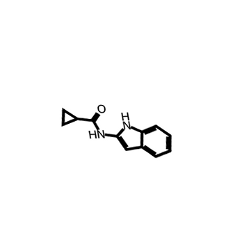 O=C(Nc1cc2ccccc2[nH]1)C1CC1